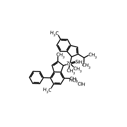 CC1=Cc2c(-c3ccccc3)c(C)cc(C)c2[CH]1[Zr]([CH3])([CH3])(=[SiH2])[CH]1C(C(C)C)=Cc2cc(C)ccc21.Cl.Cl